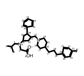 CC(C)CN(CC(=O)O)C1CC(CN2CCC(CCCc3ccc(F)cc3)CC2)C(c2ccccc2)C1